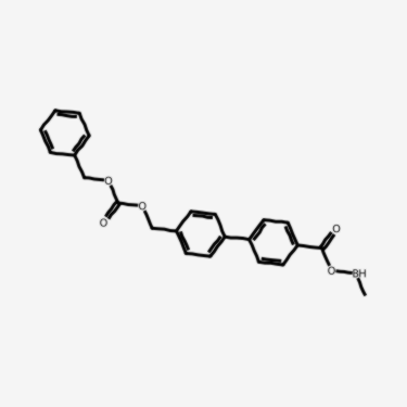 CBOC(=O)c1ccc(-c2ccc(COC(=O)OCc3ccccc3)cc2)cc1